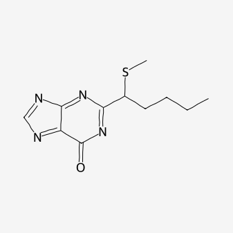 CCCCC(SC)C1=NC(=O)C2=NC=NC2=N1